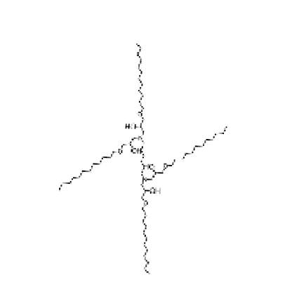 CCCCCCCCCCCCOCC(O)CN(CCCCCCN(CC(O)COCCCCCCCCCCCC)CC(O)COCCCCCCCCCCCC)CC(O)COCCCCCCCCCCCC